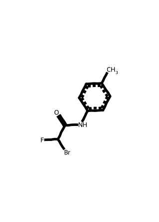 Cc1ccc(NC(=O)C(F)Br)cc1